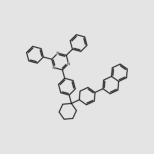 C1=CC(C2(c3ccc(-c4nc(-c5ccccc5)nc(-c5ccccc5)n4)cc3)CCCCC2)CC=C1c1ccc2ccccc2c1